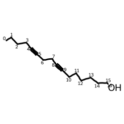 CCCCC#CCCC#CCCCCCCO